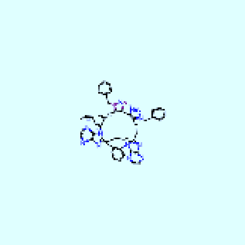 C=C1Cc2c(pnp2Cc2ccccc2)-c2c(n(Cc3ccccc3)n[n+]2C)CCC2N3CCCCN4c5nccnc5N(/C1=C/C=C\C)C4Cc1ccccc1N2c1nccnc13